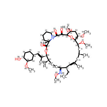 CC[C@@H]1/C=C(\C)C[C@H](C)C[C@H](OC)[C@H]2O[C@@](O)(C(=O)C(=O)N3CCCC[C@H]3C(=O)O[C@H](/C(C)=C/[C@@H]3CC[C@@H](O)[C@H](OC)C3)[C@H](C)CCC1=NOC)[C@H](C)C[C@@H]2OC